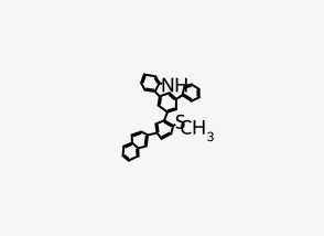 CSc1ccc(-c2ccc3ccccc3c2)cc1-c1cc(-c2ccccc2)c2[nH]c3ccccc3c2c1